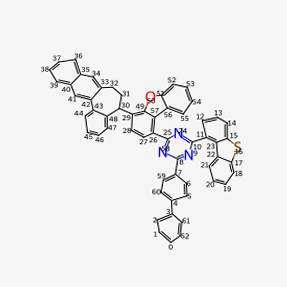 c1ccc(-c2ccc(-c3nc(-c4cccc5sc6ccccc6c45)nc(-c4ccc(C5CCc6cc7ccccc7cc6-c6ccccc65)c5oc6ccccc6c45)n3)cc2)cc1